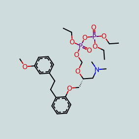 CCOP(=O)(OCC)OP(=O)(OCC)OCO[C@@H](COc1ccccc1CCc1cccc(OC)c1)CN(C)C